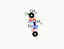 CCn1c(Oc2ccc(F)cc2)nnc1[C@@H](C)NS(=O)(=O)c1ccc(C)c(Cl)c1